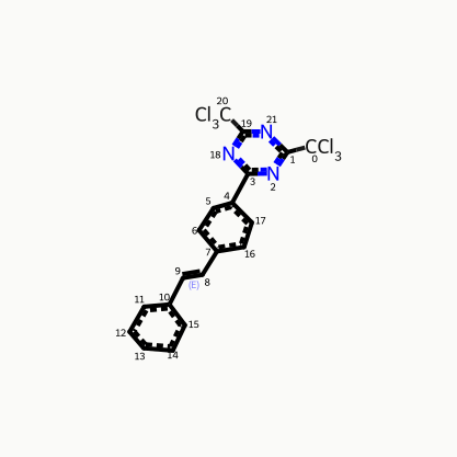 ClC(Cl)(Cl)c1nc(-c2ccc(/C=C/c3ccccc3)cc2)nc(C(Cl)(Cl)Cl)n1